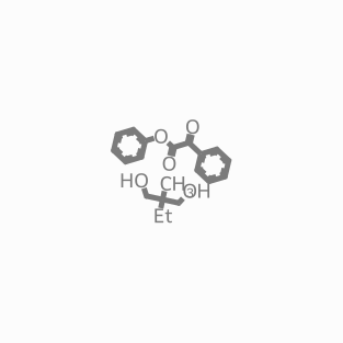 CCC(C)(CO)CO.O=C(Oc1ccccc1)C(=O)c1ccccc1